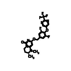 C[C@@H]1CCn2c(cc(OCc3cc(F)c(Oc4cnc(C(F)(F)F)nc4)c(F)c3)nc2=O)N1C